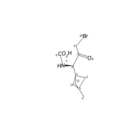 CC12CC([C@@H](NC(=O)O)C(=O)CBr)(C1)C2